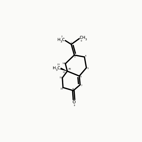 CC(C)=C1CCC2=CC(=O)CC[C@]2(C)C1